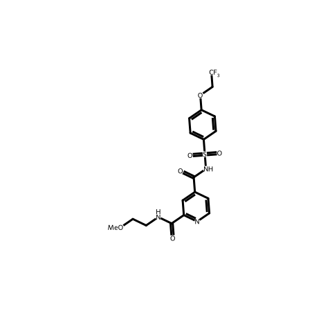 COCCNC(=O)c1cc(C(=O)NS(=O)(=O)c2ccc(OCC(F)(F)F)cc2)ccn1